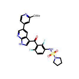 COc1cc(-c2cnc3[nH]cc(C(=O)c4c(F)ccc(NS(=O)(=O)N5CCCC5)c4F)c3c2)ccn1